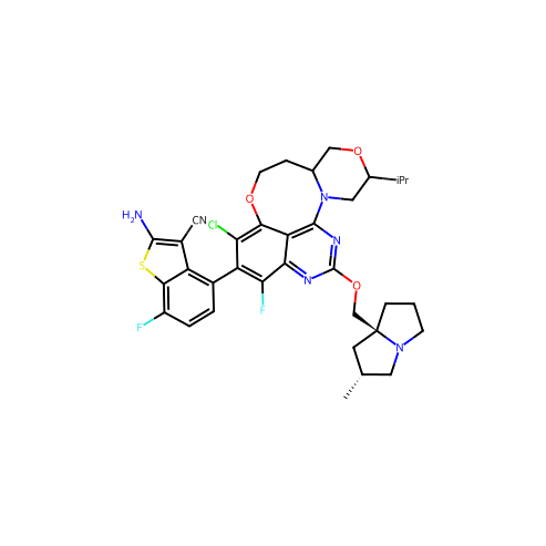 CC(C)C1CN2c3nc(OC[C@@]45CCCN4C[C@H](C)C5)nc4c(F)c(-c5ccc(F)c6sc(N)c(C#N)c56)c(Cl)c(c34)OCCC2CO1